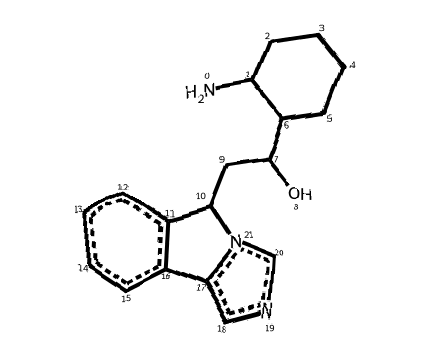 NC1CCCCC1C(O)CC1c2ccccc2-c2cncn21